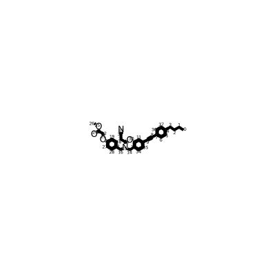 CCCCc1ccc(C#Cc2ccc(CN(Cc3ccc(OCC(=O)OC)cc3)C(=O)CC#N)cc2)cc1